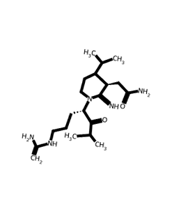 C=C(N)NCCC[C@@H](C(=O)C(C)C)N1CCC(C(C)C)[C@@H](CC(N)=O)C1=N